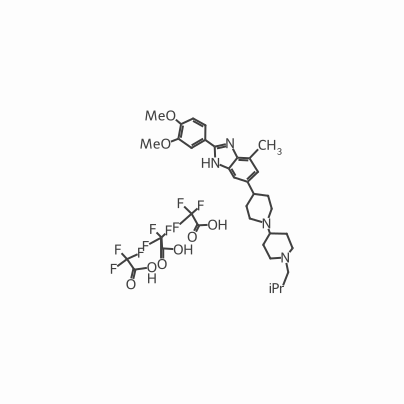 COc1ccc(-c2nc3c(C)cc(C4CCN(C5CCN(CC(C)C)CC5)CC4)cc3[nH]2)cc1OC.O=C(O)C(F)(F)F.O=C(O)C(F)(F)F.O=C(O)C(F)(F)F